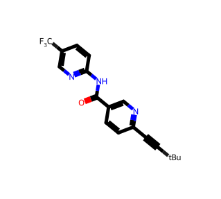 CC(C)(C)C#Cc1ccc(C(=O)Nc2ccc(C(F)(F)F)cn2)cn1